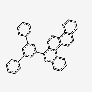 c1ccc(-c2cc(-c3ccccc3)cc(-c3nc4ccccc4c4c3cnc3c4ccc4cccnc43)c2)cc1